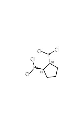 ClP(Cl)[C@@H]1CCC[C@H]1P(Cl)Cl